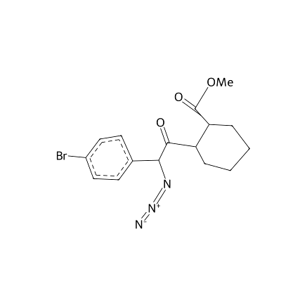 COC(=O)C1CCCCC1C(=O)C(N=[N+]=[N-])c1ccc(Br)cc1